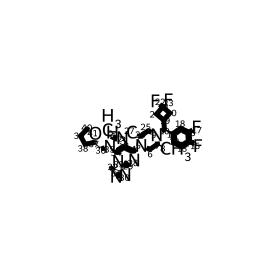 Cc1nc2c(N3C[C@@H](C)N([C@H](c4ccc(F)c(F)c4)C4CC(F)(F)C4)C[C@@H]3C)nc3nncn3c2n1C[C@@H]1CCCO1